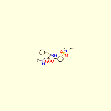 CCCN(C)S(=O)(=O)c1cccc(C(=O)N[C@@H](Cc2ccccc2)[C@H](O)CNC2CC2)c1